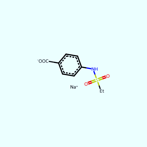 CCS(=O)(=O)Nc1ccc(C(=O)[O-])cc1.[Na+]